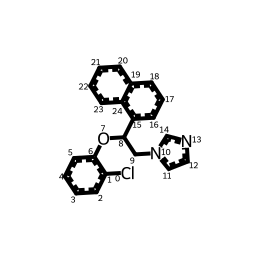 Clc1ccccc1OC(Cn1ccnc1)c1cccc2ccccc12